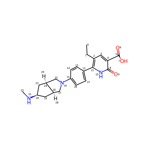 CCc1cc(C(=O)O)c(=O)[nH]c1-c1ccc(N2C[C@H]3C[C@@H](NC)C[C@H]3C2)cc1